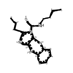 CCCCNC(=O)n1c(CCC)nc2nc3ccccc3nc21